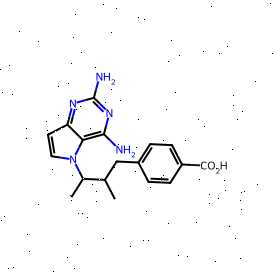 CC(Cc1ccc(C(=O)O)cc1)C(C)n1ccc2nc(N)nc(N)c21